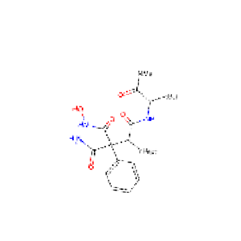 CCCCCCCC(C(=O)NC(C(=O)NC)C(C)(C)C)C(C(N)=O)(C(=O)NO)c1ccccc1